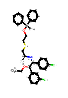 CC[C@@H](CSCCO[Si](c1ccccc1)(c1ccccc1)C(C)(C)C)N[C@H](c1ccc(Cl)cc1)[C@H](OCC(=O)O)c1cccc(Cl)c1